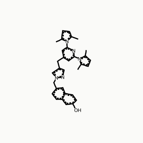 Cc1ccc(C)n1-c1cc(Cc2cnn(Cc3ccc4cc(O)ccc4c3)c2)cc(-n2c(C)ccc2C)n1